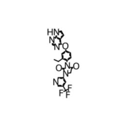 CCc1cc(Oc2ncnc3[nH]ccc23)ccc1N1C(=O)CN(c2cncc(C(F)(F)F)c2)C1=O